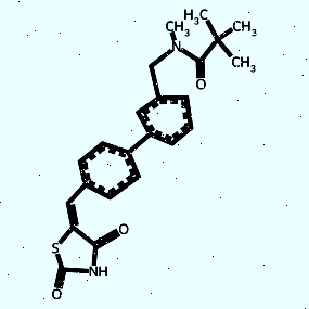 CN(Cc1cccc(-c2ccc(/C=C3/SC(=O)NC3=O)cc2)c1)C(=O)C(C)(C)C